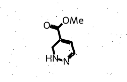 COC(=O)C1=CC=NNC1